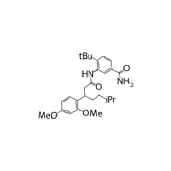 COc1ccc(C(CCC(C)C)CC(=O)Nc2cc(C(N)=O)ccc2C(C)(C)C)c(OC)c1